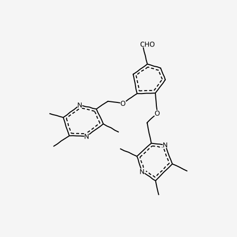 Cc1nc(C)c(COc2ccc(C=O)cc2OCc2nc(C)c(C)nc2C)nc1C